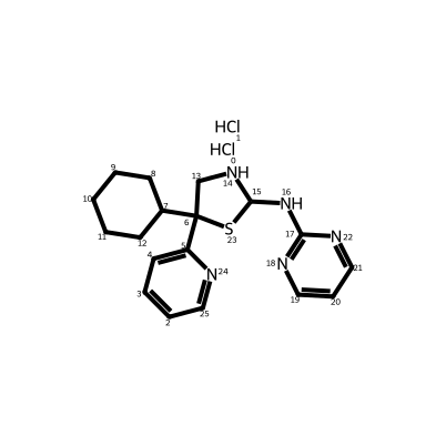 Cl.Cl.c1ccc(C2(C3CCCCC3)CNC(Nc3ncccn3)S2)nc1